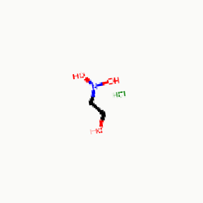 Cl.OCCN(O)O